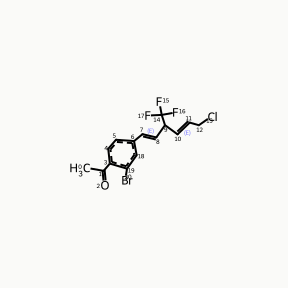 CC(=O)c1ccc(/C=C/C(/C=C/CCl)C(F)(F)F)cc1Br